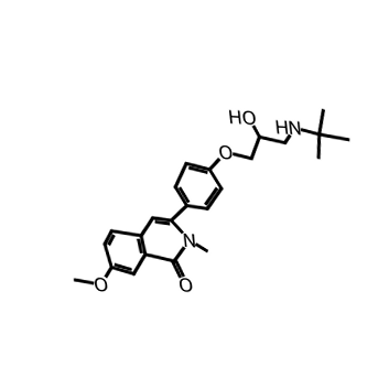 COc1ccc2cc(-c3ccc(OCC(O)CNC(C)(C)C)cc3)n(C)c(=O)c2c1